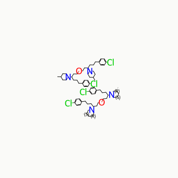 CC1CCN(C(CCCc2ccc(Cl)cc2)CCOCCC(CCCc2ccc(Cl)cc2)N2CCC(C)CC2)CC1.C[C@@H]1C[C@H](C)CN(C(CCCc2ccc(Cl)cc2)CCOCCC(CCCc2ccc(Cl)cc2)N2C[C@H](C)C[C@H](C)C2)C1